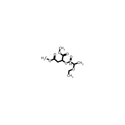 CCOC(C)[PH](=O)OC(CC(=O)OC)C(=O)OC